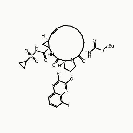 CCc1nc2cccc(F)c2nc1O[C@@H]1C[C@H]2C(=O)N[C@]3(C(=O)NS(=O)(=O)C4CC4)C[C@H]3/C=C\CCCCC[C@H](NC(=O)OC(C)(C)C)C(=O)N2C1